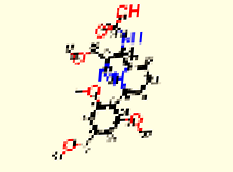 COCc1cc(OC)c(-c2cccc3c(NC(=O)O)c(COC)nn23)c(OC)c1